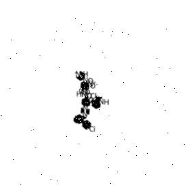 CN1CCC(Nc2ccc(S(=O)(=O)NC(=O)c3ccc(N4CCN(CC5=C(c6ccc(Cl)cc6)CC(C)(C)CC5)CC4)cc3Oc3cccc4[nH]cc(Cl)c34)cc2[N+](=O)[O-])CC1